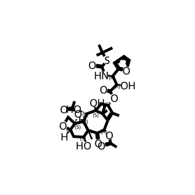 CC(=O)O[C@H]1C(=O)[C@@]2(C)[C@H]([C@H](O)[C@]3(O)C[C@H](OC(=O)[C@H](O)[C@@H](NC(=O)SC(C)(C)C)c4ccco4)C(C)=C1C3(C)C)[C@]1(OC(C)=O)CO[C@@H]1C[C@@H]2O